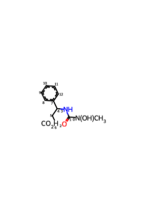 CN(O)C(=O)NC(CC(=O)O)c1ccccc1